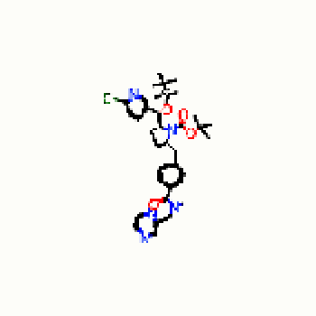 CN(Cc1cnccn1)C(=O)c1ccc(C[C@@H]2CC[C@H]([C@H](O[Si](C)(C)C(C)(C)C)c3ccc(Cl)nc3)N2C(=O)OC(C)(C)C)cc1